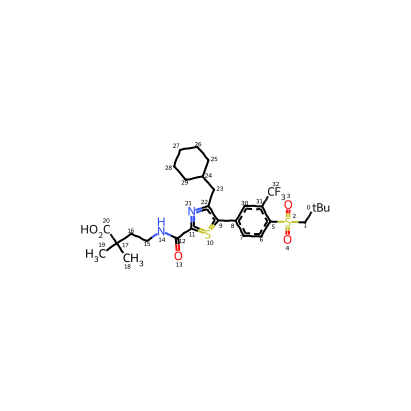 CC(C)(C)CS(=O)(=O)c1ccc(-c2sc(C(=O)NCCC(C)(C)C(=O)O)nc2CC2CCCCC2)cc1C(F)(F)F